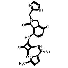 Cc1ccc([C@H](Nc2c(Nc3ccc(Cl)c4c3C(=O)N(Cc3ncc[nH]3)C4)c(=O)c2=O)C(C)(C)C)o1